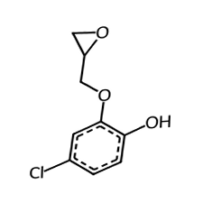 Oc1ccc(Cl)cc1OCC1CO1